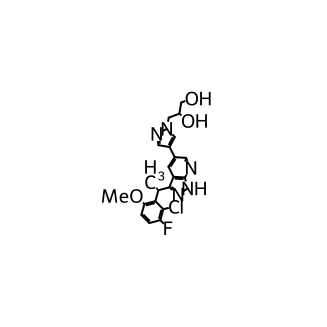 COc1ccc(F)c(Cl)c1[C@@H](C)c1n[nH]c2ncc(-c3cnn(C[C@H](O)CO)c3)cc12